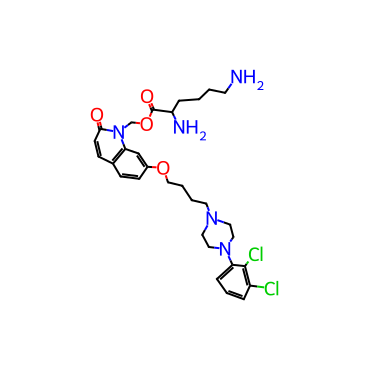 NCCCCC(N)C(=O)OCn1c(=O)ccc2ccc(OCCCCN3CCN(c4cccc(Cl)c4Cl)CC3)cc21